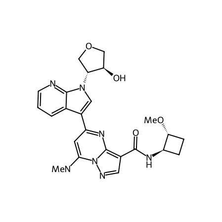 CNc1cc(-c2cn([C@@H]3COC[C@H]3O)c3ncccc23)nc2c(C(=O)N[C@@H]3CC[C@H]3OC)cnn12